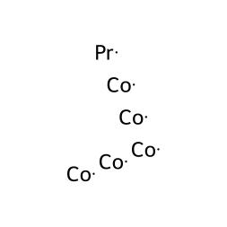 [Co].[Co].[Co].[Co].[Co].[Pr]